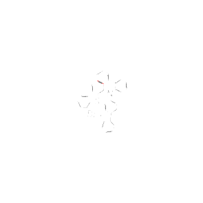 CC1(C)c2ccccc2-c2ccc(N(c3ccccc3-c3ccccc3)c3cccc4c3sc3c(Br)cccc34)cc21